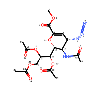 COC(=O)C1=C[C@H](N=[N+]=[N-])[C@@H](NC(C)=O)[C@H]([C@H](OC(C)=O)[C@@H](COC(C)=O)OC(C)=O)O1